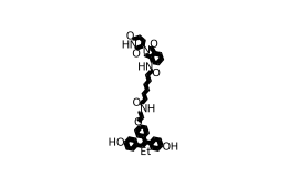 CCC(=C(c1ccc(O)cc1)c1ccc(OCCNC(=O)CCCCCCC(=O)Nc2cccc3c2CN(C2CCC(=O)NC2=O)C3=O)cc1)c1ccc(O)cc1